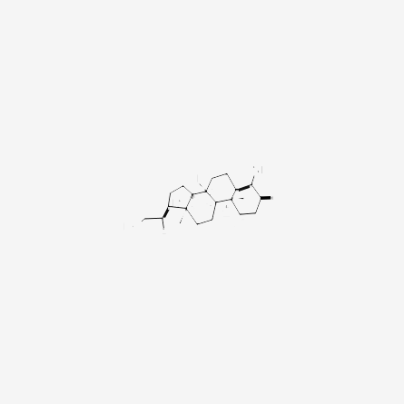 C[C@H]1CC(=O)C(N)=C2CC[C@@H]3[C@H](CC[C@]4(C)C(=C(F)CO)CC[C@@H]34)[C@]21C